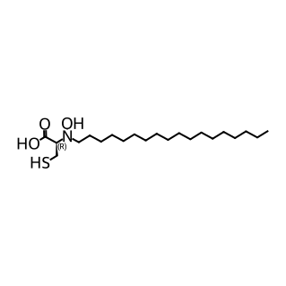 CCCCCCCCCCCCCCCCCCN(O)[C@@H](CS)C(=O)O